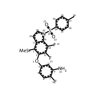 CSc1c(Oc2ccc(F)c(N)c2)c(F)c(F)c2c1ccn2S(=O)(=O)c1ccc(C)cc1